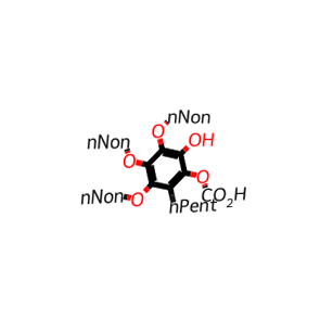 CCCCCCCCCOc1c(O)c(OC(=O)O)c(CCCCC)c(OCCCCCCCCC)c1OCCCCCCCCC